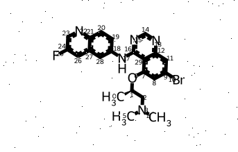 C[C@H](CN(C)C)Oc1cc(Br)cc2ncnc(Nc3ccc4ncc(F)cc4c3)c12